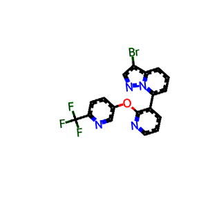 FC(F)(F)c1ccc(Oc2ncccc2-c2cccc3c(Br)cnn23)cn1